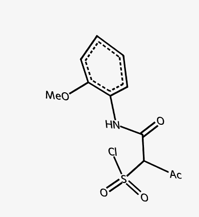 COc1ccccc1NC(=O)C(C(C)=O)S(=O)(=O)Cl